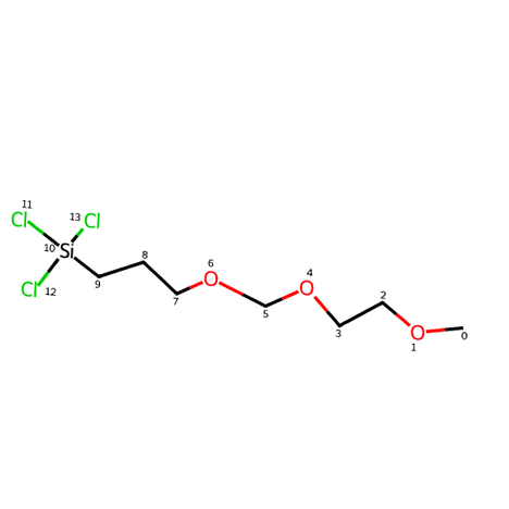 COCCOCOCCC[Si](Cl)(Cl)Cl